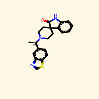 C[C@H](c1ccc2scnc2c1)N1CCC2(CC1)C(=O)Nc1ccccc12